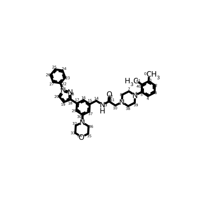 Cc1cccc(N2CCN(CC(=O)NCc3cc(-c4ccn(-c5ccccc5)n4)cc(N4CCOCC4)c3)CC2)c1C